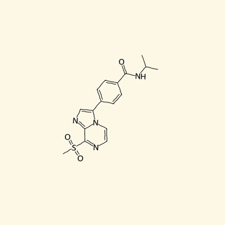 CC(C)NC(=O)c1ccc(-c2cnc3c(S(C)(=O)=O)nccn23)cc1